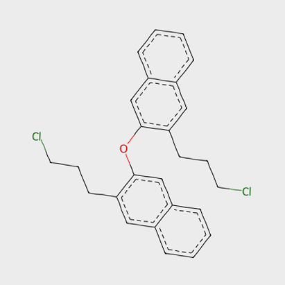 ClCCCc1cc2ccccc2cc1Oc1cc2ccccc2cc1CCCCl